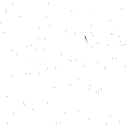 COc1ncc(F)cc1[C@H]1CCCN1c1ccn2ncc(C(=O)N3CC3(C)O)c2n1